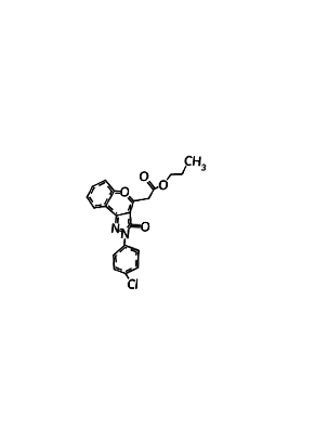 CCCOC(=O)Cc1oc2ccccc2c2nn(-c3ccc(Cl)cc3)c(=O)c1-2